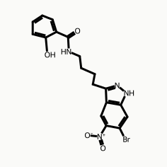 O=C(NCCCCc1n[nH]c2cc(Br)c([N+](=O)[O-])cc12)c1ccccc1O